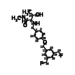 CNC(=O)C(NCc1ccc(OCc2cc(CF)cc(CF)c2)cc1)C(C)O